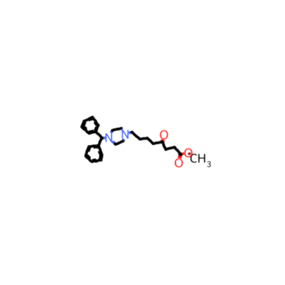 COC(=O)CCC(=O)CCCCN1CCN(C(c2ccccc2)c2ccccc2)CC1